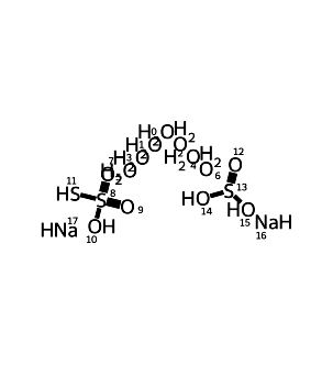 O.O.O.O.O.O.O.O=S(=O)(O)S.O=S(O)O.[NaH].[NaH]